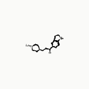 CC(=O)N1CCC(CCC(=O)c2ccc3c(c2)CCN3C)CC1